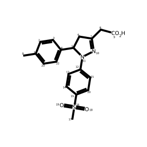 Cc1ccc(C2CC(CC(=O)O)=NN2c2ccc(S(C)(=O)=O)cc2)cc1